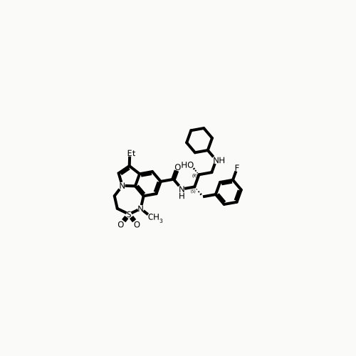 CCc1cn2c3c(cc(C(=O)N[C@@H](Cc4cccc(F)c4)[C@H](O)CNC4CCCCC4)cc13)N(C)S(=O)(=O)CC2